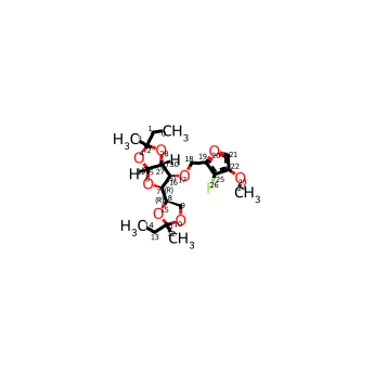 CCC1(C)O[C@H]2O[C@H]([C@H]3COC(C)(CC)O3)[C@H](OCc3occ(OC)c3F)[C@H]2O1